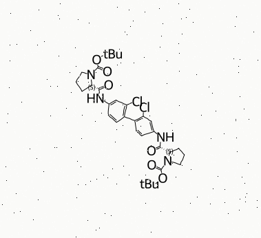 CC(C)(C)OC(=O)N1CCC[C@H]1C(=O)Nc1ccc(-c2ccc(NC(=O)[C@@H]3CCCN3C(=O)OC(C)(C)C)cc2Cl)c(Cl)c1